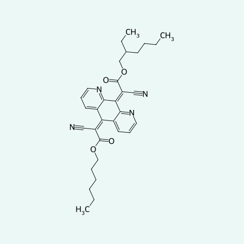 CCCCCCOC(=O)C(C#N)=c1c2cccnc2c(=C(C#N)C(=O)OCC(CC)CCCC)c2ncccc12